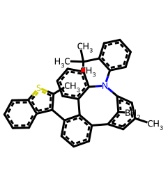 Bc1c2cc(C)cc1N(c1ccccc1C(C)(C)C)c1ccccc1-c1c-2cccc1-c1c(C)sc2ccccc12